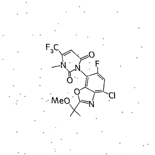 COC(C)(C)c1nc2c(Cl)cc(F)c(-n3c(=O)cc(C(F)(F)F)n(C)c3=O)c2o1